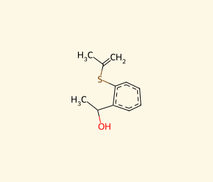 C=C(C)Sc1ccccc1C(C)O